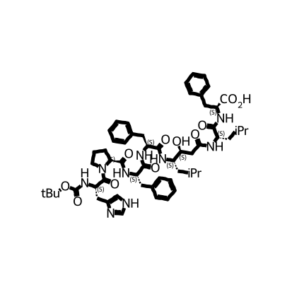 CC(C)C[C@H](NC(=O)C[C@H](O)[C@H](CC(C)C)NC(=O)[C@H](Cc1ccccc1)NC(=O)[C@H](Cc1ccccc1)NC(=O)[C@@H]1CCCN1C(=O)[C@H](Cc1c[nH]cn1)NC(=O)OC(C)(C)C)C(=O)N[C@@H](Cc1ccccc1)C(=O)O